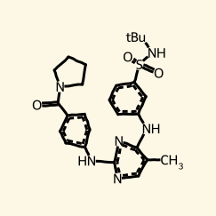 Cc1cnc(Nc2ccc(C(=O)N3CCCC3)cc2)nc1Nc1cccc(S(=O)(=O)NC(C)(C)C)c1